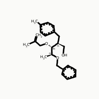 C=C(C)CO[C@H]([C@H](CO)Cc1ccc(C)cc1)[C@H](C)OCc1ccccc1